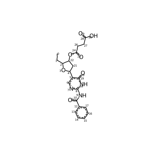 CCC1OC(c2cnc(NC(=O)c3ccccc3)[nH]c2=O)CC1OC(=O)CCC(=O)O